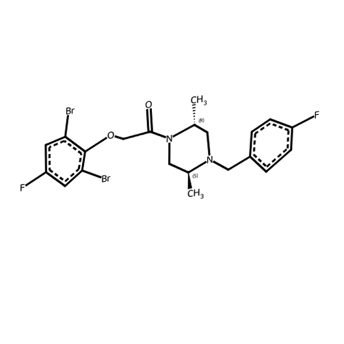 C[C@@H]1CN(Cc2ccc(F)cc2)[C@@H](C)CN1C(=O)COc1c(Br)cc(F)cc1Br